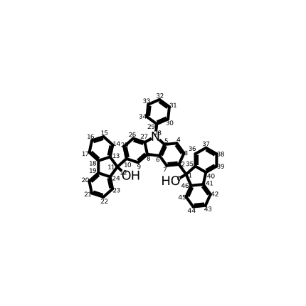 OC1(c2ccc3c(c2)c2cc(C4(O)c5ccccc5-c5ccccc54)ccc2n3-c2ccccc2)c2ccccc2-c2ccccc21